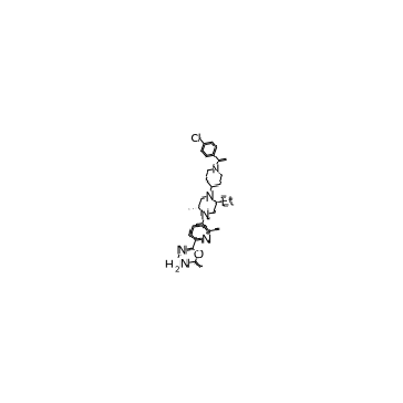 C=C(N)O/C(=N\C)c1ccc(N2C[C@H](CC)N(C3CCN(C(=C)c4ccc(Cl)cc4)CC3)C[C@H]2C)c(C)n1